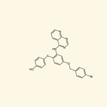 Oc1ccc(Sc2ccc(OCc3ccc(Br)cc3)cc2Nc2ncnc3ncccc23)cc1